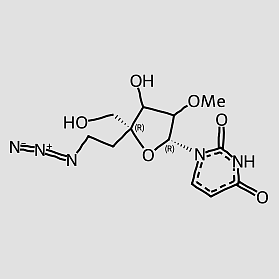 COC1C(O)[C@](CO)(CCN=[N+]=[N-])O[C@H]1n1ccc(=O)[nH]c1=O